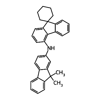 CC1(C)c2ccccc2-c2ccc(Nc3cccc4c3-c3ccccc3C43CCCCC3)cc21